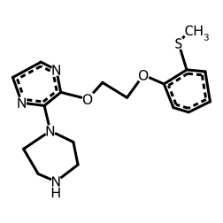 CSc1ccccc1OCCOc1nccnc1N1CCNCC1